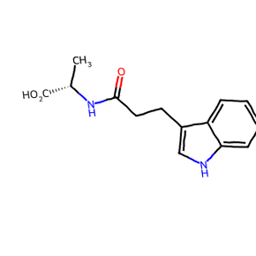 C[C@H](NC(=O)CCc1c[nH]c2ccccc12)C(=O)O